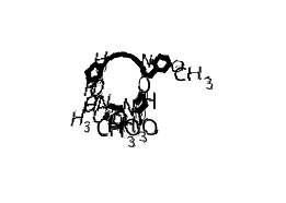 COc1ccc2nc3c(cc2c1)O[C@@H]1C[C@@H](C(=O)O)N(C1)C(=O)[C@H](C(C)(C)C)NC(=O)O[C@@H]1CCC[C@H]1CCCCC3